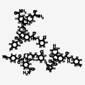 CC1N(S(=O)(=O)c2ccc(C#N)cc2)c2ccc(C(N)=O)cc2C12CCN(Cc1ccccc1Cl)CC2.CC1N(S(=O)(=O)c2ccc(F)cc2)c2ccc(C(=O)NCc3ccccc3Cl)cc2C12CCNCC2.CC1N(S(=O)(=O)c2ccnn2C)c2ccc(C(=O)NCc3ccc(F)cc3)cc2C12CCNCC2.NC(=O)c1ccc2c(c1)C1(C=N2)CCN(C(N)=O)CC1